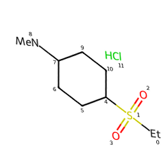 CCS(=O)(=O)C1CCC(NC)CC1.Cl